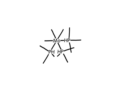 C[PH](C)(C)[Mo]([CH3])([CH3])([CH3])([PH](C)(C)C)[PH](C)(C)C